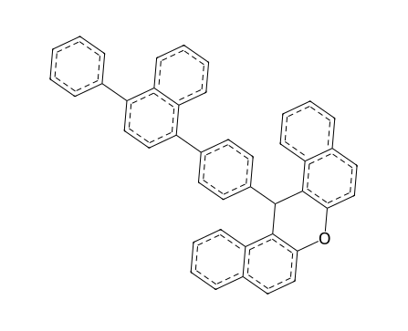 c1ccc(-c2ccc(-c3ccc(C4c5c(ccc6ccccc56)Oc5ccc6ccccc6c54)cc3)c3ccccc23)cc1